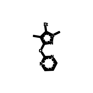 CCc1c(C)c(Oc2ncccn2)nn1C